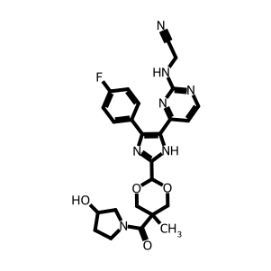 CC1(C(=O)N2CCC(O)C2)COC(c2nc(-c3ccc(F)cc3)c(-c3ccnc(NCC#N)n3)[nH]2)OC1